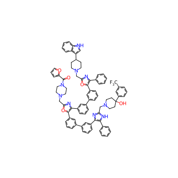 O=C(c1ccco1)N1CCN(Cc2nc(-c3cccc(-c4cccc(-c5oc(CN6CCC(c7c[nH]c8ccccc78)CC6)nc5-c5ccccc5)c4)c3)c(-c3cccc(-c4cccc(-c5nc(CN6CCC(O)(c7cccc(C(F)(F)F)c7)CC6)[nH]c5-c5ccccc5)c4)c3)o2)CC1